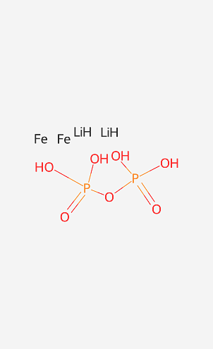 O=P(O)(O)OP(=O)(O)O.[Fe].[Fe].[LiH].[LiH]